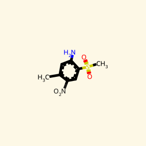 Cc1cc(N)c(S(C)(=O)=O)cc1[N+](=O)[O-]